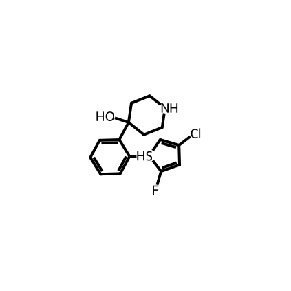 OC1(c2ccccc2[SH]2C=C(Cl)C=C2F)CCNCC1